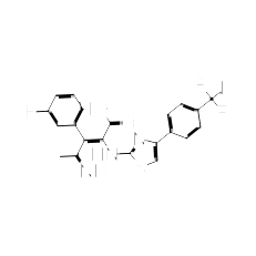 CC(=N)/C(=C(\Nc1nc(-c2ccc(C(F)(F)F)cc2)cs1)C(=O)O)c1cccc(F)c1